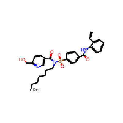 C=Cc1ccccc1NC(=O)c1ccc(S(=O)(=O)N(CCCCCCCCCCCCCCCC)C(=O)c2ccc(CO)nc2)cc1